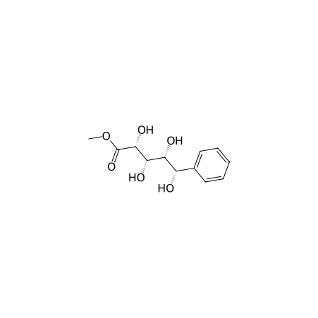 COC(=O)[C@H](O)[C@@H](O)[C@H](O)[C@@H](O)c1ccccc1